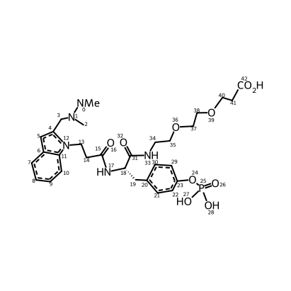 CNN(C)Cc1cc2ccccc2n1CCC(=O)N[C@@H](Cc1ccc(OP(=O)(O)O)cc1)C(=O)NCCOCCOCCC(=O)O